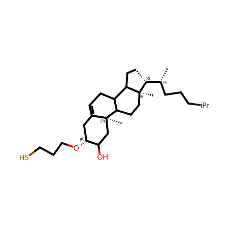 CC(C)CCC[C@@H](C)[C@H]1CCC2C3CC=C4C[C@@H](OCCCS)C(O)C[C@]4(C)C3CC[C@@]21C